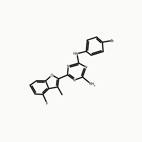 Cc1c(-c2nc(N)nc(Nc3ccc(Br)cc3)n2)oc2cccc(F)c12